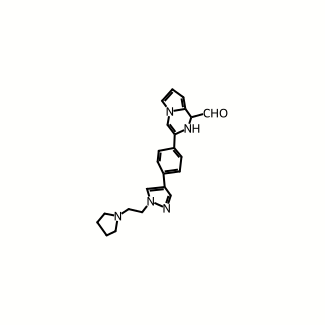 O=CC1NC(c2ccc(-c3cnn(CCN4CCCC4)c3)cc2)=Cn2cccc21